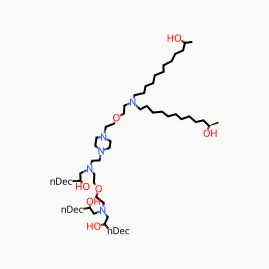 CCCCCCCCCCC(O)CN(CCOCCN(CC(O)CCCCCCCCCC)CC(O)CCCCCCCCCC)CCN1CCN(CCOCCN(CCCCCCCCCCC(C)O)CCCCCCCCCC[C@@H](C)O)CC1